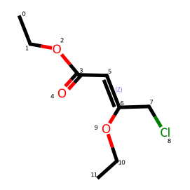 CCOC(=O)/C=C(/CCl)OCC